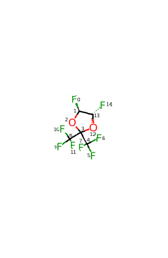 F[C@@H]1OC(C(F)(F)F)(C(F)(F)F)O[C@H]1F